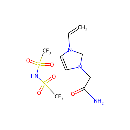 C=CN1C=CN(CC(N)=O)C1.O=S(=O)(NS(=O)(=O)C(F)(F)F)C(F)(F)F